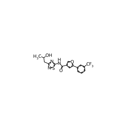 CC(O)Cc1nsc(NC(=O)c2coc(-c3cccc(C(F)(F)F)c3)c2)n1